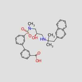 CN(C[C@H](O)CNC(C)(C)Cc1ccc2ccccc2c1)S(=O)(=O)c1cccc(-c2cccc(C(=O)O)c2)c1